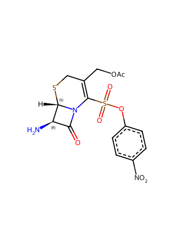 CC(=O)OCC1=C(S(=O)(=O)Oc2ccc([N+](=O)[O-])cc2)N2C(=O)[C@@H](N)[C@@H]2SC1